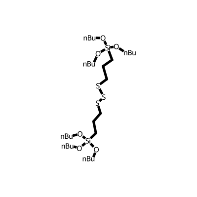 CCCCO[Si](CCCSSSCCC[Si](OCCCC)(OCCCC)OCCCC)(OCCCC)OCCCC